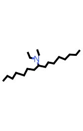 CCCCCCCCC(CCCCCCC)N(CC)CC